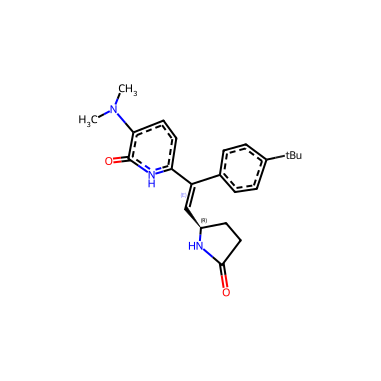 CN(C)c1ccc(/C(=C/[C@H]2CCC(=O)N2)c2ccc(C(C)(C)C)cc2)[nH]c1=O